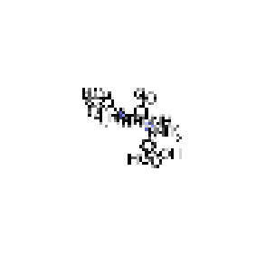 COC(=O)c1cc(/C(N)=C/N(N)c2cc(C)c(O)c(C(=O)O)c2)nc(/C(N)=C/N(N)c2cc(C)c(O)c(C(=O)O)c2)c1